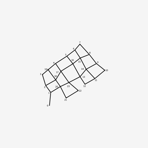 CC1C2CC3C4C5CC6C7CC8CC9%10C87C65C49C34C2(C)C12CCC2%104